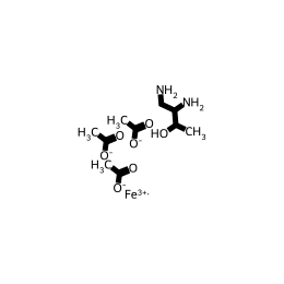 CC(=O)[O-].CC(=O)[O-].CC(=O)[O-].CC(O)C(N)CN.[Fe+3]